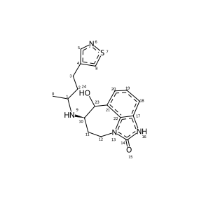 CC(CCc1cnsc1)N[C@@H]1CCn2c(=O)[nH]c3cccc(c32)C1O